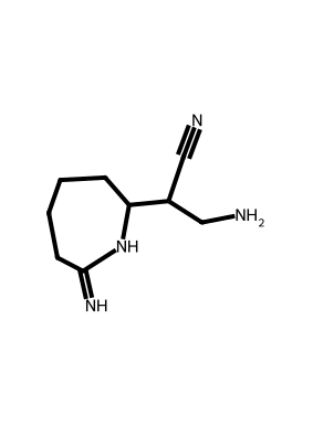 N#CC(CN)C1CCCCC(=N)N1